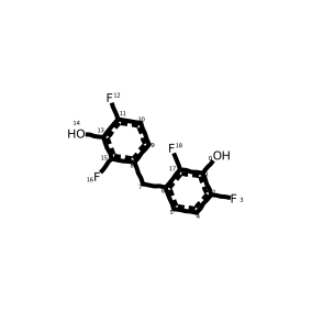 Oc1c(F)ccc(Cc2ccc(F)c(O)c2F)c1F